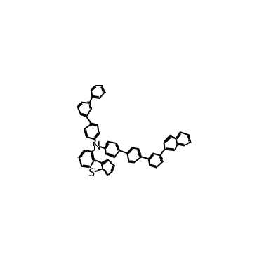 c1ccc(-c2cccc(-c3ccc(N(c4ccc(-c5ccc(-c6cccc(-c7ccc8ccccc8c7)c6)cc5)cc4)c4cccc5sc6ccccc6c45)cc3)c2)cc1